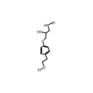 CCOCCc1ccc(OCC(O)CNC(C)C)cc1